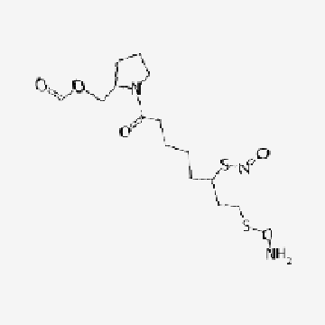 NOSCCC(CCCCC(=O)N1CCCC1COC=O)SN=O